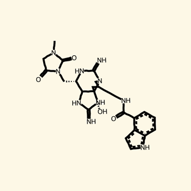 CN1CC(=O)N(C[C@@H]2NC(=N)N3CC(NC(=O)c4cccc5[nH]ccc45)[C@@H](O)C34NC(=N)NC24)C1=O